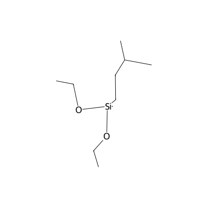 CCO[Si](CCC(C)C)OCC